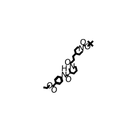 CCOC(=O)c1ccc(NC(=O)[C@@H]2CCCN(C(=O)CCC3CCN(C(=O)OC(C)(C)C)CC3)C2)cc1